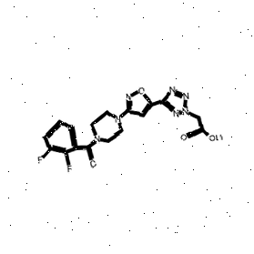 O=C(O)Cn1nnc(-c2cc(N3CCN(C(=O)c4cccc(F)c4F)CC3)no2)n1